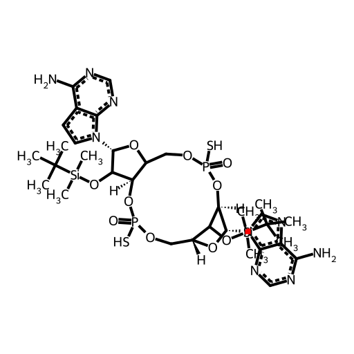 CC(C)(C)[Si](C)(C)OC1[C@@H]2OP(=O)(S)OC[C@H]3O[C@@H](n4cnc5c(N)ncnc54)[C@H](OP(=O)(S)OCC2O[C@H]1n1ccc2c(N)ncnc21)C3O[Si](C)(C)C(C)(C)C